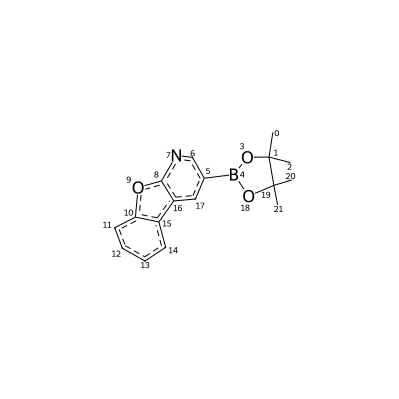 CC1(C)OB(c2cnc3oc4ccccc4c3c2)OC1(C)C